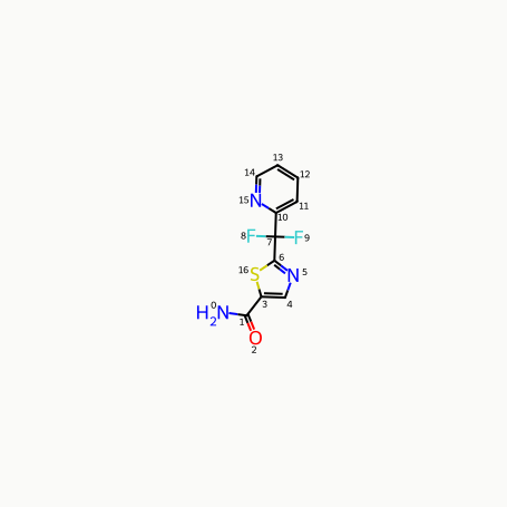 NC(=O)c1cnc(C(F)(F)c2ccccn2)s1